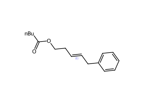 CCCCC(=O)OCC/C=C/Cc1ccccc1